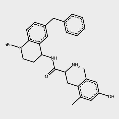 CCCN1CCC(NC(=O)C(N)Cc2c(C)cc(O)cc2C)c2cc(Cc3ccccc3)ccc21